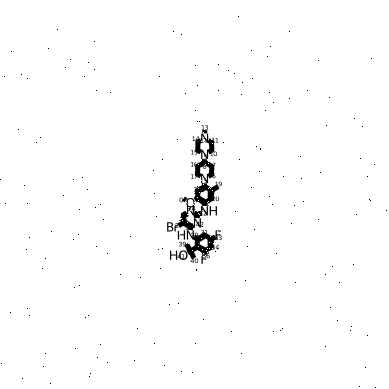 COc1cc(N2CCC(N3CCN(C)CC3)CC2)c(C)cc1Nc1ncc(Br)c(Nc2cc(F)cc(F)c2C(C)(C)O)n1